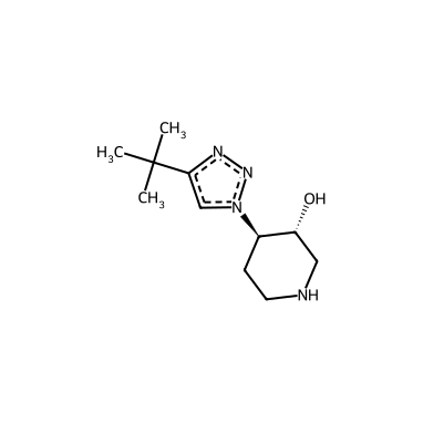 CC(C)(C)c1cn([C@@H]2CCNC[C@H]2O)nn1